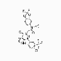 O=C(Cn1nc(-c2ccc(Cl)c(C(F)(F)F)c2)c2[nH]cnc2c1=O)N(c1ccc2c(c1)OC(F)(F)O2)C1CC1